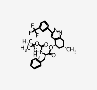 C[C@H]1Cc2nnc(-c3cccc(C(F)(F)F)c3)cc2[C@@H](OC(=O)[C@@H](Cc2ccccc2)NC(=O)OC(C)(C)C)C1